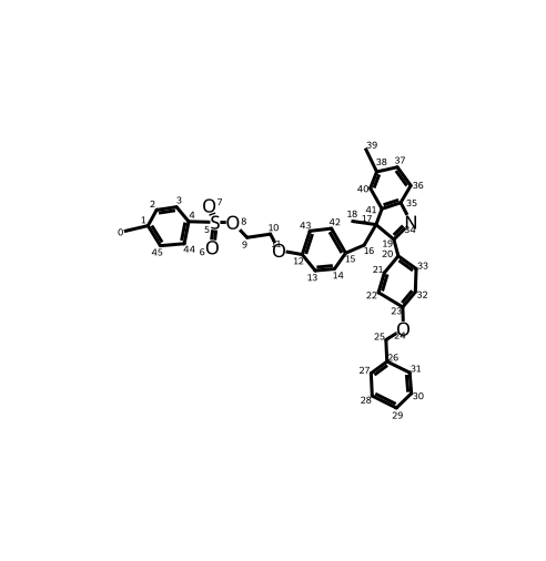 Cc1ccc(S(=O)(=O)OCCOc2ccc(CC3(C)C(c4ccc(OCc5ccccc5)cc4)=Nc4ccc(C)cc43)cc2)cc1